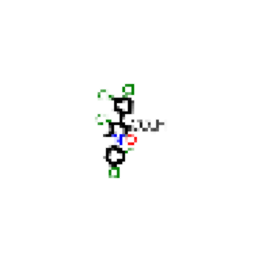 Cc1c(Cl)c(-c2ccc(Cl)c(Cl)c2)c(C(=O)O)c(=O)n1-c1ccc(Cl)cc1F